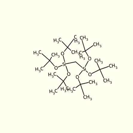 CC(C)(C)O[Si](C[Si](OC(C)(C)C)(OC(C)(C)C)OC(C)(C)C)(OC(C)(C)C)OC(C)(C)C